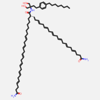 CCCCCCCCc1ccc(CCC(CO)(CO)NC(=O)[C@H](CCC=CCC=CCC=CCC=CCC=CCC=CCCC(N)=O)CCCCCCC=CCC=CCC=CCC=CCC=CCC=CCCC(N)=O)cc1